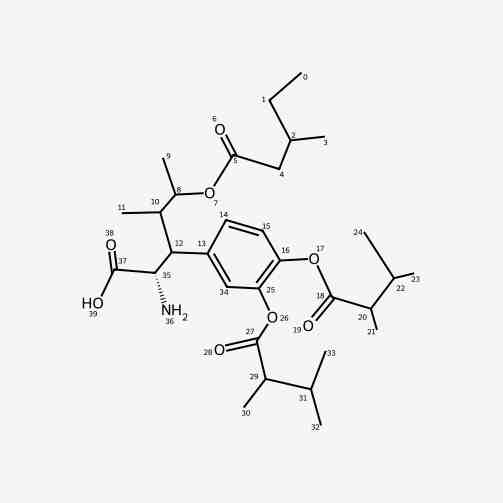 CCC(C)CC(=O)OC(C)C(C)C(c1ccc(OC(=O)C(C)C(C)C)c(OC(=O)C(C)C(C)C)c1)[C@H](N)C(=O)O